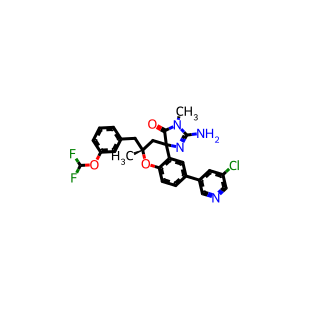 CN1C(=O)C2(C[C@@](C)(Cc3cccc(OC(F)F)c3)Oc3ccc(-c4cncc(Cl)c4)cc32)N=C1N